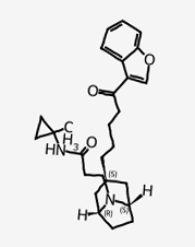 CC1(NC(=O)CCN2[C@@H]3CC[C@H]2C[C@H](CCCCC(=O)c2coc4ccccc24)C3)CC1